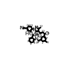 Cc1cc([C@@H](C)Nc2ccccc2C(=O)O)c2oc(-c3cn(-c4ccc(C#N)cc4)nc3C)cc(=O)c2c1